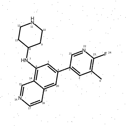 Cc1cc(-c2cc(NC3CCNCC3)c3cnccc3c2)cnc1F